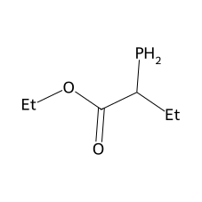 CCOC(=O)C(P)CC